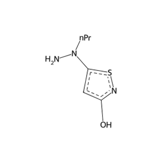 CCCN(N)c1cc(O)ns1